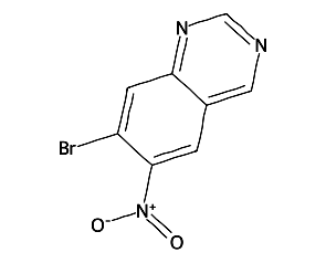 O=[N+]([O-])c1cc2cncnc2cc1Br